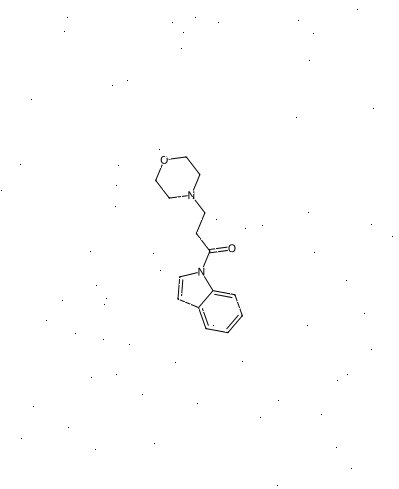 O=C(CCN1CCOCC1)n1ccc2ccccc21